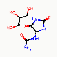 NC(=O)NC1NC(=O)NC1=O.OCC(O)CO